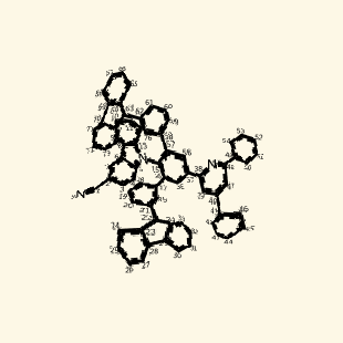 N#Cc1ccc2c(c1)c1ccccc1n2-c1c(-c2cccc(C3c4ccccc4-c4ccccc43)c2)cc(-c2cc(-c3ccccc3)cc(-c3ccccc3)n2)cc1-c1cccc(C2c3ccccc3-c3ccccc32)c1